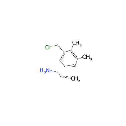 C=CCN.Cc1cccc(CCl)c1C